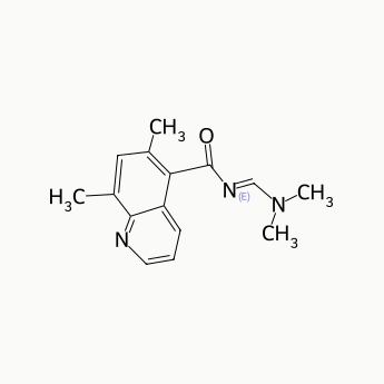 Cc1cc(C)c2ncccc2c1C(=O)/N=C/N(C)C